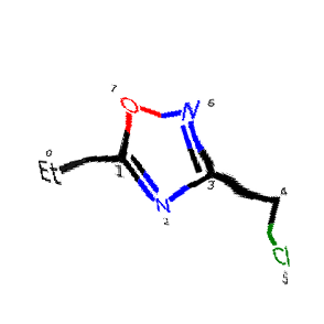 CCc1nc(CCl)no1